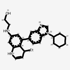 CCC1C=CNc2cc(NCCO)cc(-c3ccc4c(c3)ncn4C3CCCCC3)c21